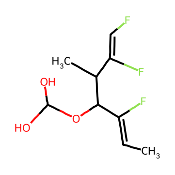 C/C=C(\F)C(OC(O)O)C(C)/C(F)=C/F